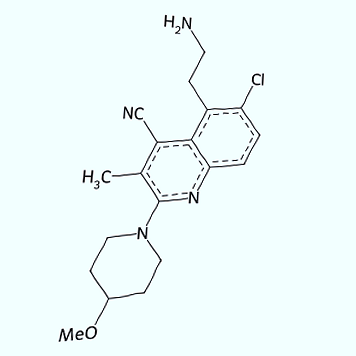 COC1CCN(c2nc3ccc(Cl)c(CCN)c3c(C#N)c2C)CC1